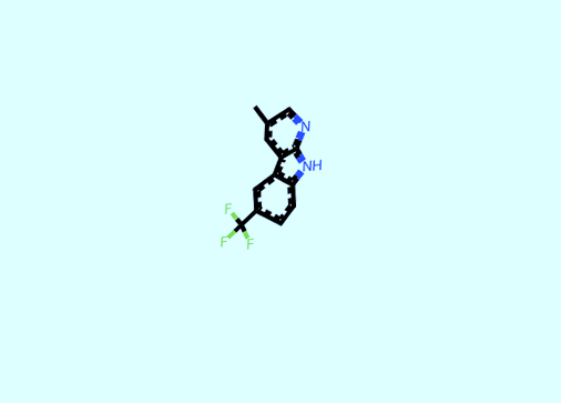 Cc1cnc2[nH]c3ccc(C(F)(F)F)cc3c2c1